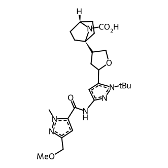 COCc1cc(C(=O)Nc2cc(C3CC([C@]45CC[C@H](CC4)N5C(=O)O)CO3)n(C(C)(C)C)n2)n(C)n1